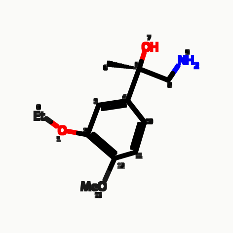 CCOc1cc([C@@](C)(O)CN)ccc1OC